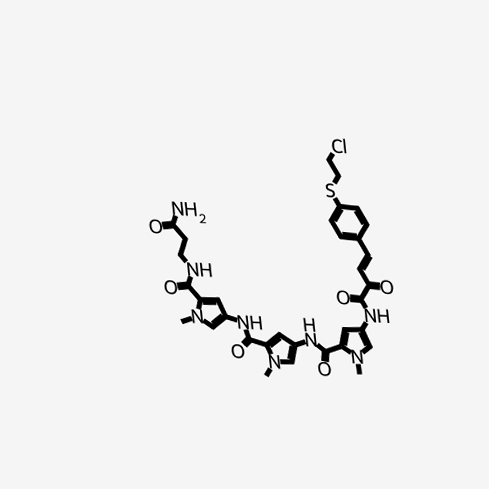 Cn1cc(NC(=O)c2cc(NC(=O)c3cc(NC(=O)C(=O)/C=C/c4ccc(SCCCl)cc4)cn3C)cn2C)cc1C(=O)NCCC(N)=O